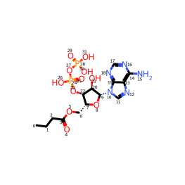 CCCC(=O)OC[C@H]1O[C@@H](n2cnc3c(N)ncnc32)[C@H](O)[C@@H]1OP(=O)(O)OP(=O)(O)O